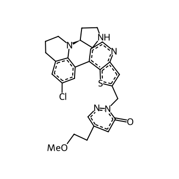 COCCc1cnn(Cc2cc3nccc(-c4cc(Cl)cc5c4N([C@H]4CCNC4)CCC5)c3s2)c(=O)c1